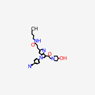 C#CCCCNC(=O)CCc1cnc2c(C(=O)CN3CCC(O)CC3)cn(-c3ccc(C#N)cc3)c2c1